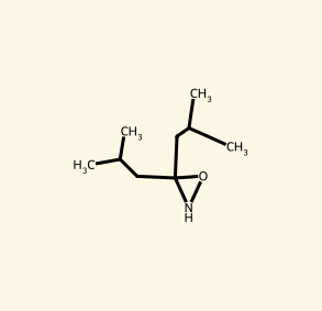 CC(C)CC1(CC(C)C)NO1